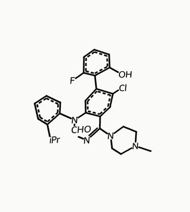 C/N=C(\c1cc(Cl)c(-c2c(O)cccc2F)cc1N(C=O)c1ccccc1C(C)C)N1CCN(C)CC1